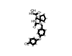 O=C(NO)[C@@H]1NC(=O)N(Cc2ccc(Oc3ccc(Cl)cc3)cc2)C12CCCC2